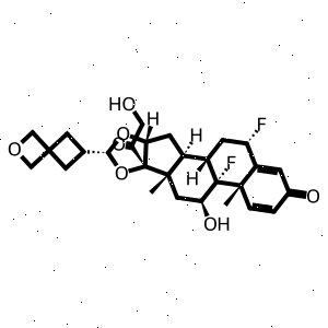 C[C@]12C=CC(=O)C=C1[C@@H](F)C[C@H]1[C@@H]3C[C@H]4O[C@@H](C5CC6(COC6)C5)O[C@@]4(C(=O)CO)[C@@]3(C)C[C@H](O)[C@@]12F